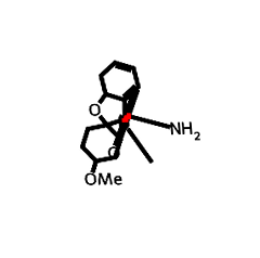 COC1CCC2(CC1)OC1CC=CC=C1C21N=C(N)N(C)C1=O